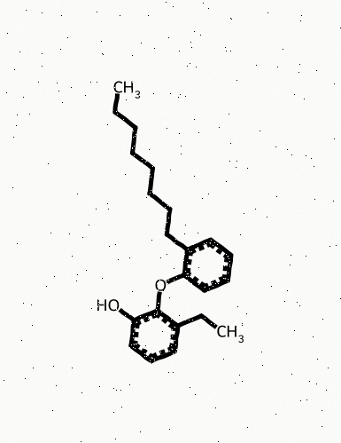 CCCCCCCCc1ccccc1Oc1c(O)cccc1CC